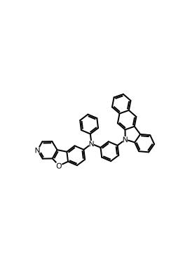 c1ccc(N(c2cccc(-n3c4ccccc4c4cc5ccccc5cc43)c2)c2ccc3oc4cnccc4c3c2)cc1